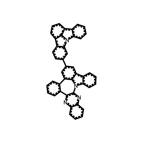 c1ccc2c(c1)-c1nc3ccccc3nc1-n1c3ccccc3c3cc(-c4ccc5c6cccc7c8ccccc8n(c5c4)c76)cc-2c31